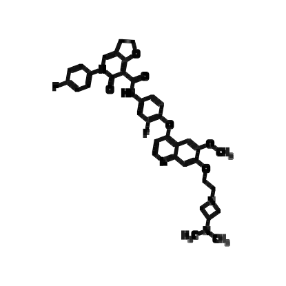 COc1cc2c(Oc3ccc(NC(=O)c4c5c(cn(-c6ccc(F)cc6)c4=O)CCO5)cc3F)ccnc2cc1OCCN1CC(N(C)C)C1